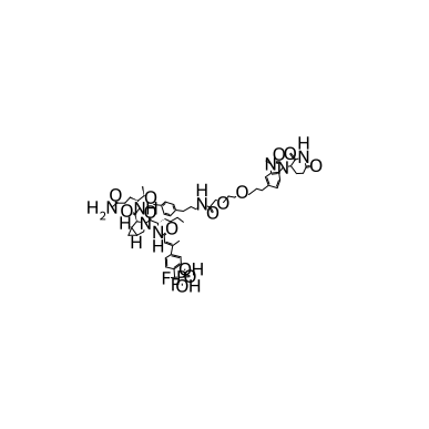 CCCC[C@H](NC(=O)/C=C(\C)c1ccc(C(F)(F)P(=O)(O)O)cc1)C(=O)N1C[C@H]2C[C@H]2[C@H]1C(=O)N[C@@H](CCC(N)=O)[C@@H](C)OCc1ccc(CCCNC(=O)COCCOCCCc2ccc3c(c2)n(C)c(=O)n3C2CCC(=O)NC2=O)cc1